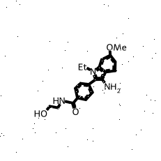 CCn1c(-c2ccc(C(=O)NCCO)cc2)c(N)c2ccc(OC)cc21